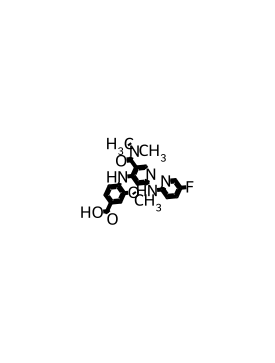 COc1cc(C(=O)O)ccc1Nc1cc(Nc2ccc(F)cn2)ncc1C(=O)N(C)C